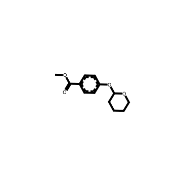 COC(=O)c1ccc(OC2CCCCO2)cc1